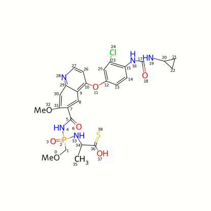 COCP(=O)(NC(=O)c1cc2c(Oc3ccc(NC(=O)NC4CC4)c(Cl)c3)ccnc2cc1OC)NC(C)C(O)=S